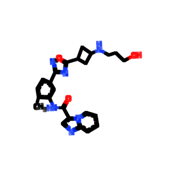 Cc1ccc(-c2noc(C3CC(NCCCO)C3)n2)cc1NC(=O)c1cnc2ccccn12